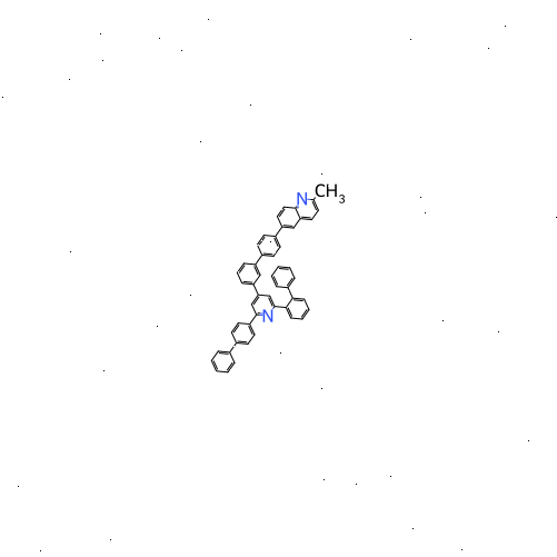 Cc1ccc2cc(-c3ccc(-c4cccc(-c5cc(-c6ccc(-c7ccccc7)cc6)nc(-c6ccccc6-c6ccccc6)c5)c4)cc3)ccc2n1